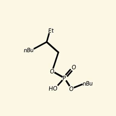 CCCCOP(=O)(O)OCC(CC)CCCC